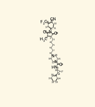 CC1=C(CCCCCCN2CCN(C(=O)NC3CC3c3ccccc3)CC2)C(=O)N(c2ccc(C#N)c(C(F)(F)F)c2)C1=O